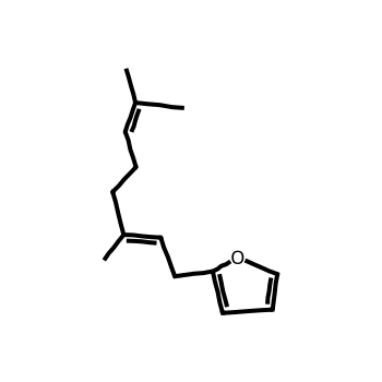 CC(C)=CCC/C(C)=C/Cc1ccco1